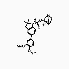 COc1cc(-c2ccc3c(c2)CC(C)(C)[C@H]3NC(=O)O[C@H]2CN3CCC2CC3)ccc1OC(C)C